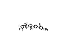 CCCc1ccc(-c2ccc(-c3ccc(C(F)(F)Oc4cc(F)c(F)c(F)c4)c(F)c3F)c(F)c2)c(F)c1